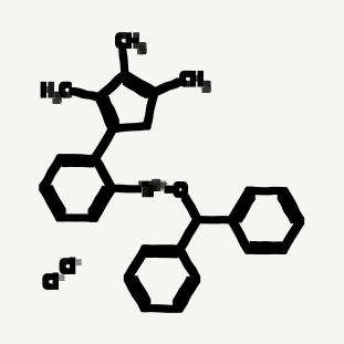 CC1=C(C)C(C)=C(c2cccc[c]2[Ti+2][O]C(c2ccccc2)c2ccccc2)C1.[Cl-].[Cl-]